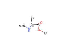 CCOC(=O)[C@@H](NNC)C(C)C